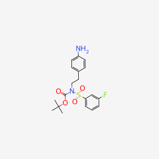 CC(C)(C)OC(=O)N(CCc1ccc(N)cc1)S(=O)(=O)c1cccc(F)c1